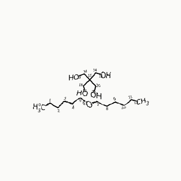 CCCCCCOCCCCCC.OCC(CO)(CO)CO